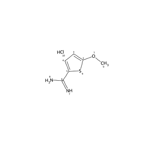 COc1ccc(C(=N)N)s1.Cl